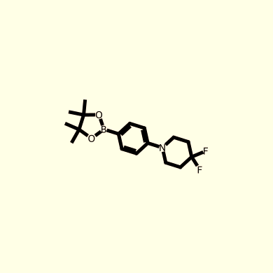 CC1(C)OB(c2ccc(N3CCC(F)(F)CC3)cc2)OC1(C)C